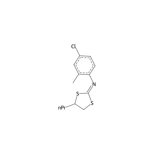 CCCC1CSC(=Nc2ccc(Cl)cc2C)S1